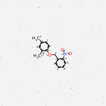 Cc1ccc(OCc2ccccc2[N+](=O)[O-])c(C)c1